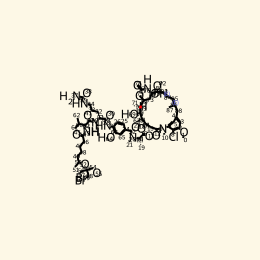 COc1cc2cc(c1Cl)N(C)C(=O)C[C@H](OC(=O)[C@H](C)N(C)C(=O)c1ccc(NC(=O)[C@H](CCCNC(N)=O)NC(=O)[C@@H](NC(=O)CCCCC(C)OC(C=O)(CBr)CBr)C(C)C)c(O)c1)[C@@H](C)[C@@H](O)[C@H](C)[C@@H]1C[C@@](O)(NC(=O)O1)[C@H](OC)/C=C/C=C(\C)C2